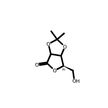 CC1(C)OC2C(=O)O[C@H](CO)C2O1